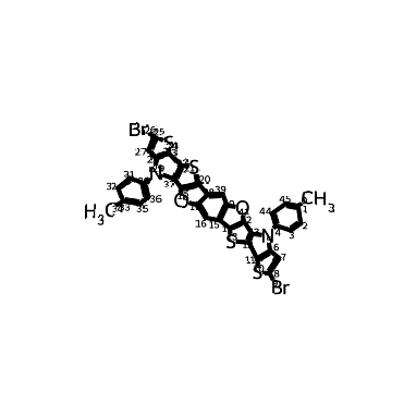 Cc1ccc(-n2c3cc(Br)sc3c3sc4c5cc6oc7c(sc8c9sc(Br)cc9n(-c9ccc(C)cc9)c78)c6cc5oc4c32)cc1